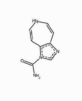 NC(=O)n1cnc2c1C=CNC=C2